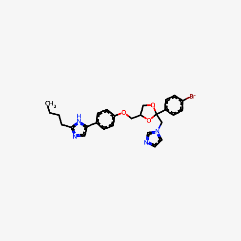 CCCCc1ncc(-c2ccc(OCC3COC(Cn4ccnc4)(c4ccc(Br)cc4)O3)cc2)[nH]1